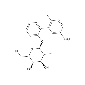 Cc1ccc(C(=O)O)cc1-c1ccccc1O[C@@H]1OC(CO)[C@H](O)[C@H](O)C1C